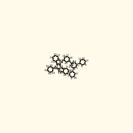 c1ccc(-c2cc(-c3ccccc3)nc(-c3cccc(-n4c5ccccc5c5c4n4c6ccccc6nc4n5-c4ccccc4)c3)n2)cc1